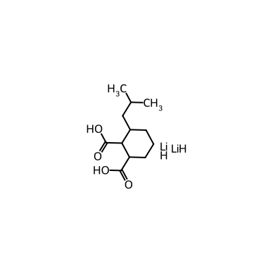 CC(C)CC1CCCC(C(=O)O)C1C(=O)O.[LiH].[LiH]